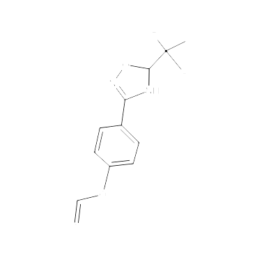 O=COc1ccc(C2=NOC(C(F)(F)F)N2)cc1